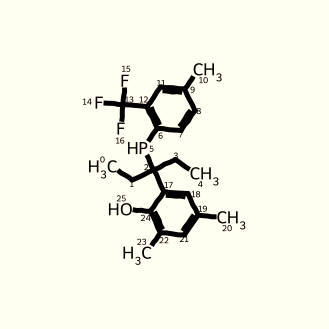 CCC(CC)(Pc1ccc(C)cc1C(F)(F)F)c1cc(C)cc(C)c1O